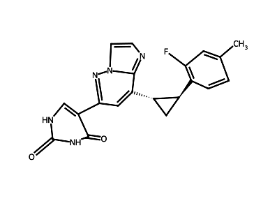 Cc1ccc([C@H]2C[C@@H]2c2cc(-c3c[nH]c(=O)[nH]c3=O)nn3ccnc23)c(F)c1